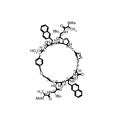 CN[C@@H](C)C(=O)N[C@H](C(=O)N[C@H]1C/C=C/COc2ccc(cc2)C[C@H](C(=O)O)NC(=O)[C@H](Cc2ccc3ccccc3c2)NC(=O)C2[C@@H](CCN2C(=O)[C@@H](NC(=O)[C@H](C)NC)C(C)(C)C)OCc2cn(nn2)CC[C@@H](C(=O)OC)NC(=O)[C@H](Cc2ccc3ccccc3c2)NC1=O)C(C)(C)C